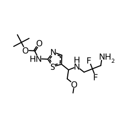 COCC(NCC(F)(F)CN)c1cnc(NC(=O)OC(C)(C)C)s1